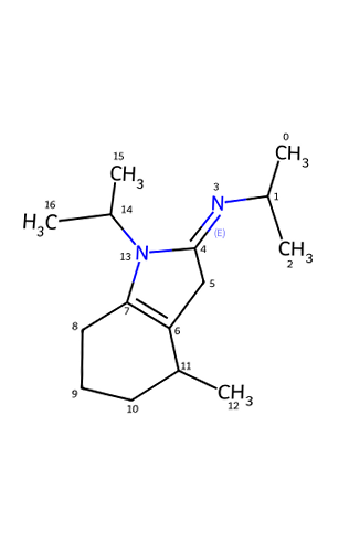 CC(C)/N=C1\CC2=C(CCCC2C)N1C(C)C